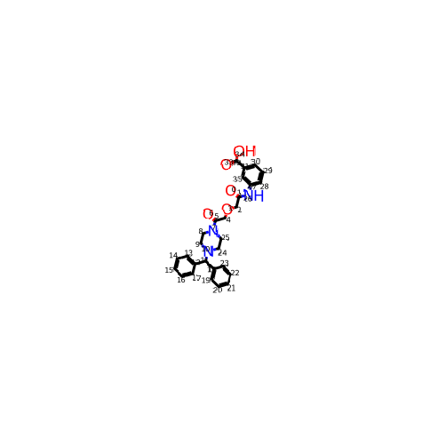 O=C(COCC(=O)N1CCN(C(c2ccccc2)c2ccccc2)CC1)Nc1cccc(C(=O)O)c1